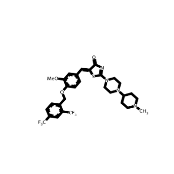 COc1cc(/C=C2\SC(N3CCN(C4CCN(C)CC4)CC3)=NC2=O)ccc1OCc1ccc(C(F)(F)F)cc1C(F)(F)F